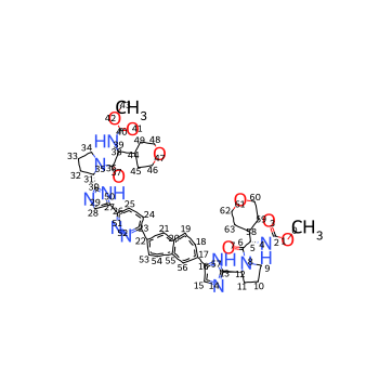 COC(=O)N[C@H](C(=O)N1CCC[C@H]1c1ncc(-c2ccc3cc(-c4ccc(-c5cnc([C@@H]6CCCN6C(=O)[C@@H](NC(=O)OC)C6CCOCC6)[nH]5)nn4)ccc3c2)[nH]1)C1CCOCC1